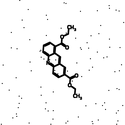 CCOC(=O)c1ccc2nc3cccc(C(=O)OCC)c3cc2c1